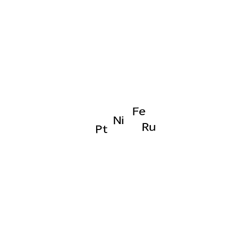 [Fe].[Ni].[Pt].[Ru]